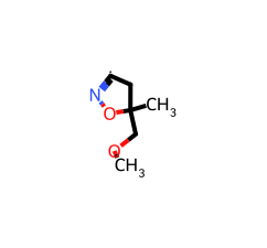 COCC1(C)C[C]=NO1